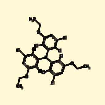 CCOc1cc(Cl)c(Cl)c(B(c2c(Cl)c(Cl)cc(OCC)c2Cl)c2c(Cl)c(Cl)cc(OCC)c2Cl)c1Cl